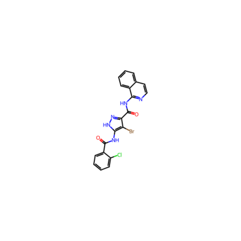 O=C(Nc1[nH]nc(C(=O)Nc2nccc3ccccc23)c1Br)c1ccccc1Cl